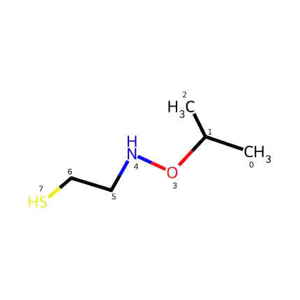 CC(C)ONCCS